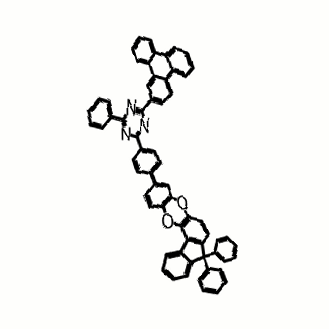 c1ccc(-c2nc(-c3ccc(-c4ccc5c(c4)Oc4ccc6c(c4O5)-c4ccccc4C6(c4ccccc4)c4ccccc4)cc3)nc(-c3ccc4c5ccccc5c5ccccc5c4c3)n2)cc1